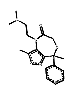 Cc1onc2c1N(CCN(C)C)C(=O)COC2(C)c1ccccc1